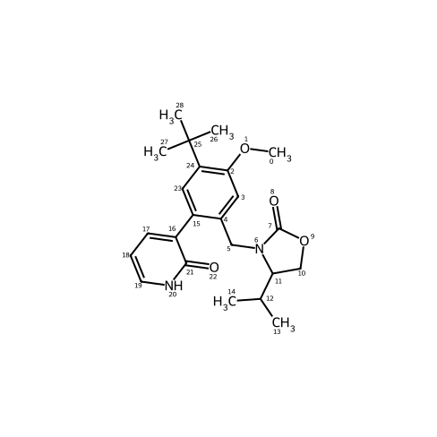 COc1cc(CN2C(=O)OCC2C(C)C)c(-c2ccc[nH]c2=O)cc1C(C)(C)C